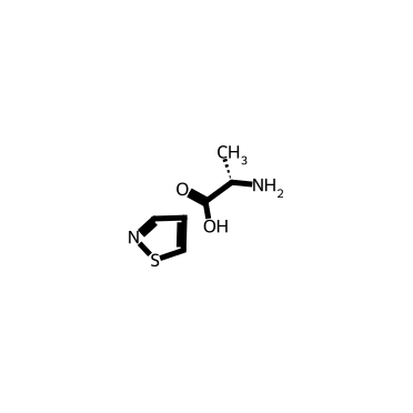 C[C@H](N)C(=O)O.c1cnsc1